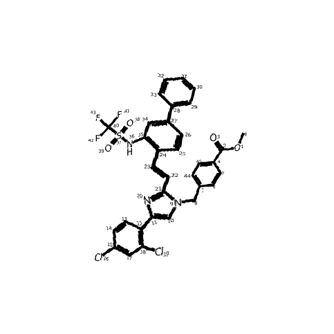 COC(=O)c1ccc(Cn2cc(-c3ccc(Cl)cc3Cl)nc2C=Cc2ccc(-c3ccccc3)cc2NS(=O)(=O)C(F)(F)F)cc1